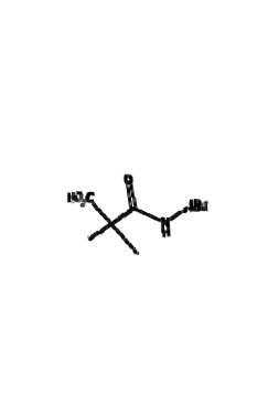 CC(C)(C)NC(=O)C(C)(C)C(=O)O